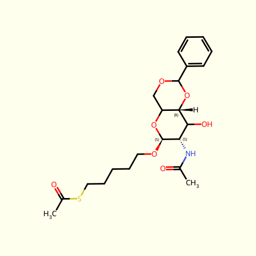 CC(=O)N[C@H]1C(O)[C@H]2OC(c3ccccc3)OCC2O[C@@H]1OCCCCCSC(C)=O